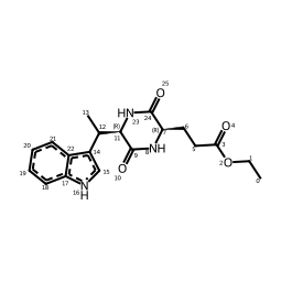 CCOC(=O)CC[C@H]1NC(=O)[C@@H](C(C)c2c[nH]c3ccccc23)NC1=O